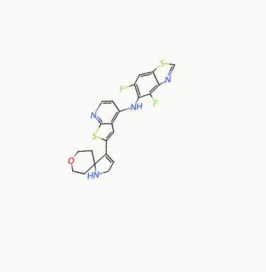 Fc1cc2scnc2c(F)c1Nc1ccnc2sc(C3=CCNC34CCOCC4)cc12